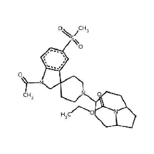 CCOC(=O)N1C2CCC(N3CCC4(CC3)CN(C(C)=O)c3ccc(S(C)(=O)=O)cc34)CCC1CC2